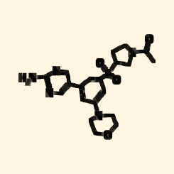 CC(=O)N1CCC(S(=O)(=O)c2cc(-c3cnc(N)nc3)cc(N3CCOCC3)c2)C1